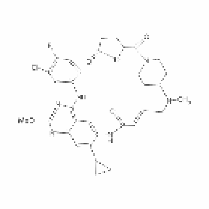 COc1nc(Nc2ccc(F)c(Cl)c2)c2cc(NC(=O)C=CCN(C)C3CCN(C(=O)C4CCC(=O)O4)CC3)c(C3CC3)cc2n1